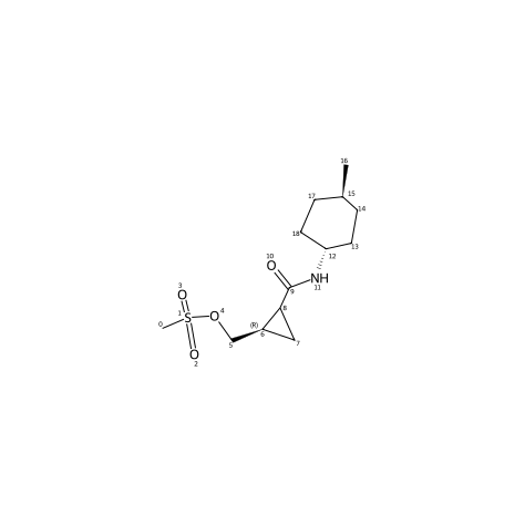 CS(=O)(=O)OC[C@@H]1CC1C(=O)N[C@H]1CC[C@H](C)CC1